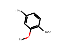 CCCc1ccc(OC)c(OCC)c1